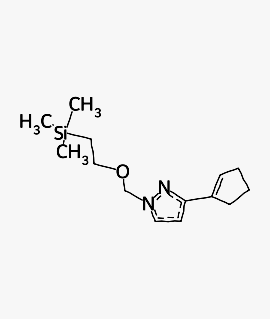 C[Si](C)(C)CCOCn1ccc(C2=CCCC2)n1